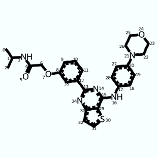 CC(C)NC(=O)COc1cccc(-c2nc(Nc3ccc(N4CCOCC4)cc3)c3sccc3n2)c1